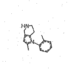 Cc1ccccc1-n1c(C)cc2c1CCNC2